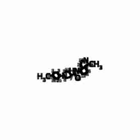 Cc1ccc(N2CCC(C(=O)Nc3cccc4c(C)nccc34)CC2)cc1